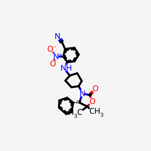 CC1(C)OC(=O)N(C2CCC(Nc3cccc(C#N)c3[N+](=O)[O-])CC2)[C@H]1c1ccccc1